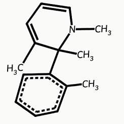 CC1=CC=CN(C)C1(C)c1ccccc1C